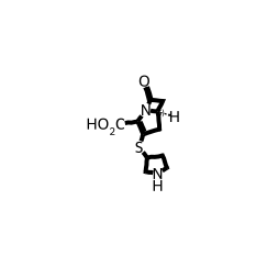 O=C(O)C1=C(SC2CCNC2)C[C@@H]2CC(=O)N12